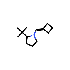 CC(C)(C)C1CCCN1C=C1CCC1